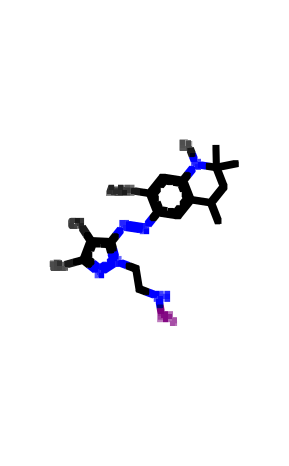 [C-]#[N+]c1c(C(C)(C)C)nn(CCNP)c1/N=N/c1cc2c(cc1NC(C)=O)N(CC)C(C)(C)CC2C